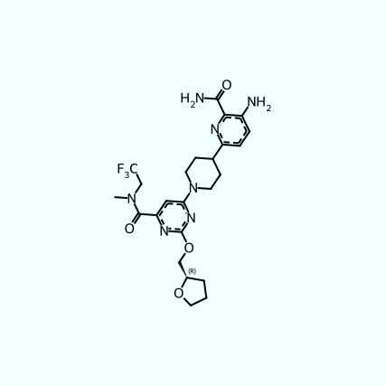 CN(CC(F)(F)F)C(=O)c1cc(N2CCC(c3ccc(N)c(C(N)=O)n3)CC2)nc(OC[C@H]2CCCO2)n1